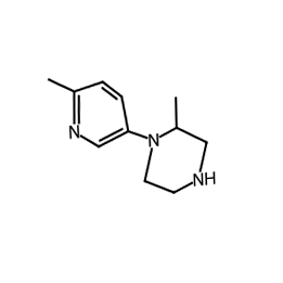 Cc1ccc(N2CCNCC2C)cn1